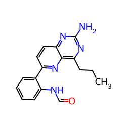 CCCc1nc(N)nc2ccc(-c3ccccc3NC=O)nc12